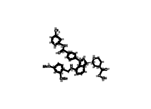 COc1ccc(CNc2nccc3c([C@H]4CN(C(=O)OC(C)(C)C)CCO4)nn(-c4ccc(C(=O)Nc5cc(C(F)(F)F)ccn5)cc4)c23)c(OC)c1